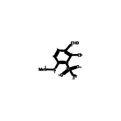 CSSc1ccc(C=O)c(Cl)c1S(=O)(=O)C(C)C